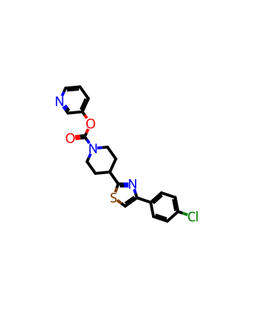 O=C(Oc1cccnc1)N1CCC(c2nc(-c3ccc(Cl)cc3)cs2)CC1